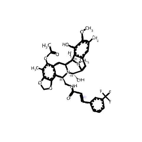 COc1c(C)cc2c(c1O)[C@@H]1C3Cc4c(OC(C)=O)c(C)c5c(c4[C@H](CNC(=O)/C=C/c4cccc(C(F)(F)F)c4)N3[C@@H](O)C(C2)N1C)OCO5